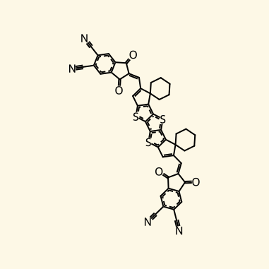 N#Cc1cc2c(cc1C#N)C(=O)C(=CC1=Cc3sc4c(sc5c6c(sc54)C=C(C=C4C(=O)c5cc(C#N)c(C#N)cc5C4=O)C64CCCCC4)c3C13CCCCC3)C2=O